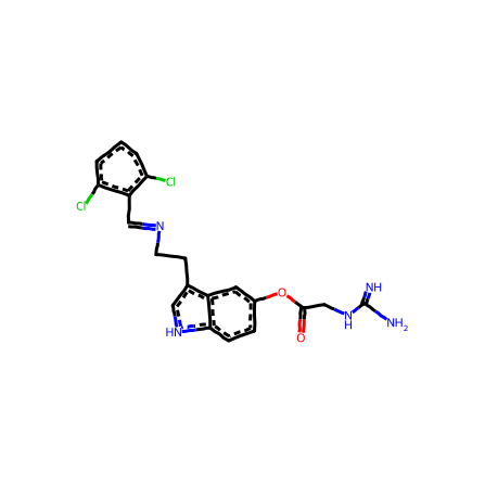 N=C(N)NCC(=O)Oc1ccc2[nH]cc(CCN=Cc3c(Cl)cccc3Cl)c2c1